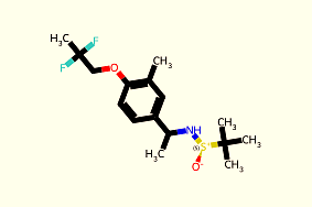 Cc1cc(C(C)N[S@+]([O-])C(C)(C)C)ccc1OCC(C)(F)F